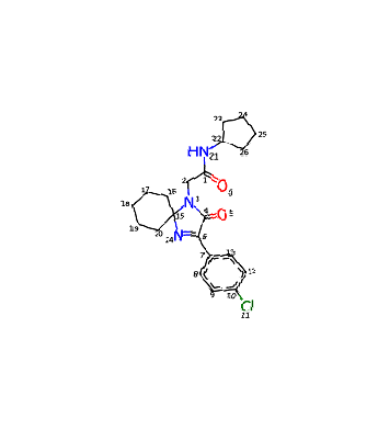 O=C(CN1C(=O)C(c2ccc(Cl)cc2)=NC12CCCCC2)NC1CCCC1